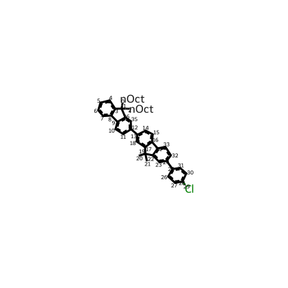 CCCCCCCCC1(CCCCCCCC)c2ccccc2-c2ccc(-c3ccc4c(c3)C(C)(C)c3cc(-c5ccc(Cl)cc5)ccc3-4)cc21